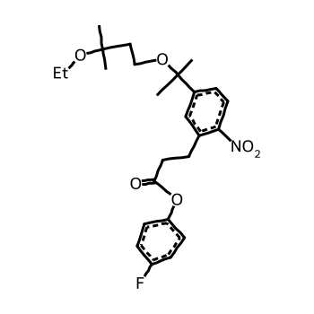 CCOC(C)(C)CCOC(C)(C)c1ccc([N+](=O)[O-])c(CCC(=O)Oc2ccc(F)cc2)c1